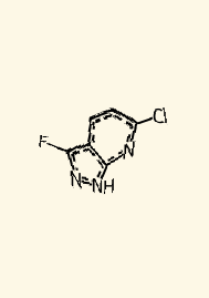 Fc1n[nH]c2nc(Cl)ccc12